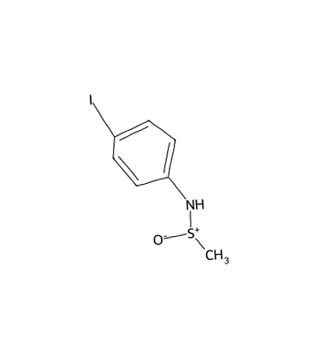 C[S+]([O-])Nc1ccc(I)cc1